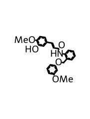 COc1cccc(OCc2ccccc2NC(=O)/C=C/c2ccc(OC)c(O)c2)c1